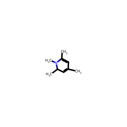 CC1=CC(C)N(C)C(C)=C1